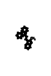 CC1=Cc2ccccc2C1CCC1c2ccccc2-c2ccccc21